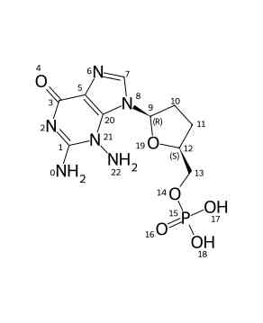 Nc1nc(=O)c2ncn([C@H]3CC[C@@H](COP(=O)(O)O)O3)c2n1N